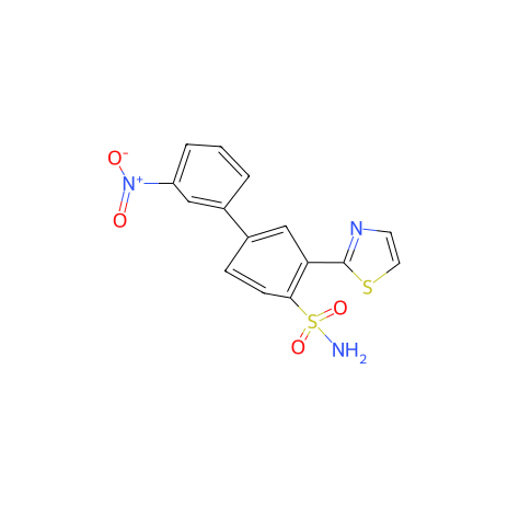 NS(=O)(=O)c1ccc(-c2cccc([N+](=O)[O-])c2)cc1-c1nccs1